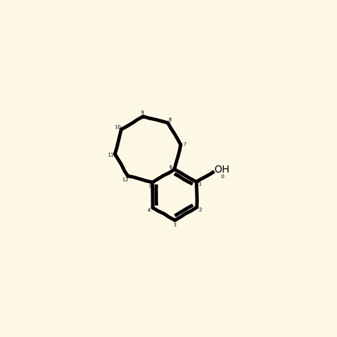 Oc1cccc2c1CCCCCC2